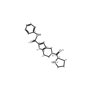 O=C(Nc1ccccc1)c1cc2c(s1)CCN(C(=O)[C@H]1CCCN1)C2